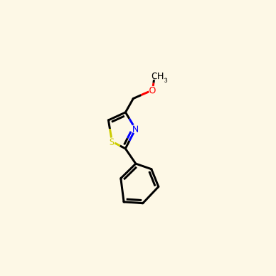 COCc1csc(-c2ccccc2)n1